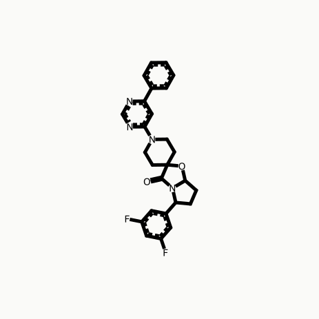 O=C1N2C(CCC2c2cc(F)cc(F)c2)OC12CCN(c1cc(-c3ccccc3)ncn1)CC2